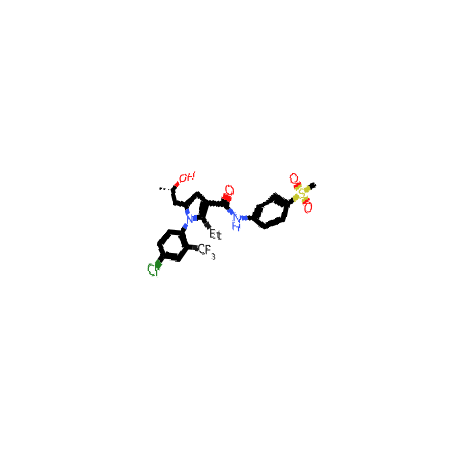 CCc1c(C(=O)Nc2ccc(S(C)(=O)=O)cc2)cc(C[C@H](C)O)n1-c1ccc(Cl)cc1C(F)(F)F